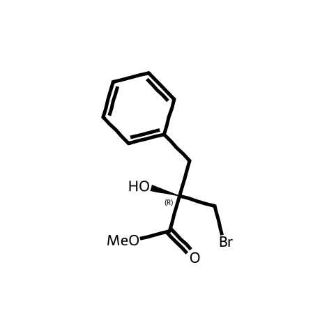 COC(=O)[C@@](O)(CBr)Cc1ccccc1